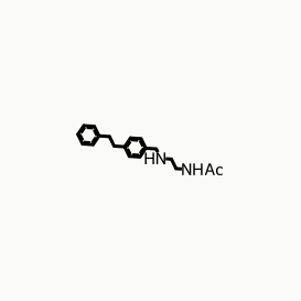 CC(=O)NCCNCc1ccc(CCc2ccccc2)cc1